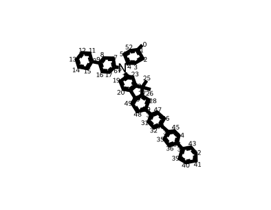 Cc1ccc(N(c2ccc(-c3ccccc3)cc2)c2ccc3c(c2)C(C)(C)c2cc(-c4ccc(-c5ccc(-c6ccccc6)cc5)cc4)ccc2-3)cc1